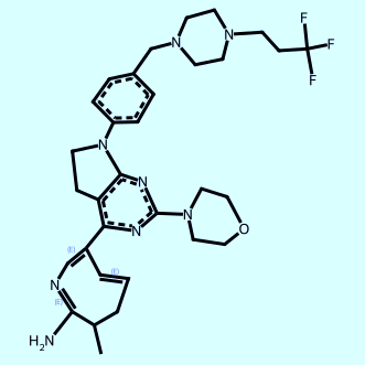 CC1C/C=C/C(c2nc(N3CCOCC3)nc3c2CCN3c2ccc(CN3CCN(CCC(F)(F)F)CC3)cc2)=C\N=C/1N